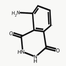 Nc1cc[c]c2c(=O)[nH][nH]c(=O)c12